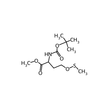 COC(=O)C(CCOSC)NC(=O)OC(C)(C)C